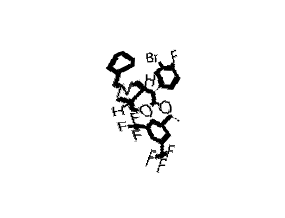 C[C@@H](O[C@H]1OC[C@@H]2CN(Cc3ccccc3)C[C@H]2[C@@H]1c1ccc(F)c(Br)c1)c1cc(C(F)(F)F)cc(C(F)(F)F)c1